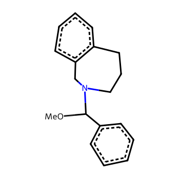 COC(c1ccccc1)N1CCCc2ccccc2C1